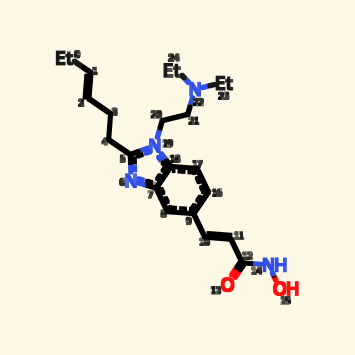 CC/C=C/CCc1nc2cc(/C=C/C(=O)NO)ccc2n1CCN(CC)CC